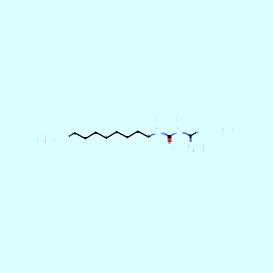 CCCCCCCCCCCCCCCCCCNC(=O)NC(N)CCCCCCC